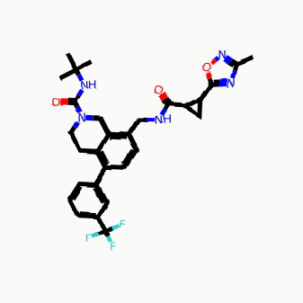 Cc1noc(C2CC2C(=O)NCc2ccc(-c3cccc(C(F)(F)F)c3)c3c2CN(C(=O)NC(C)(C)C)CC3)n1